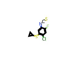 Fc1cc(Cl)c(SC2CC2)cc1N=C=S